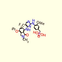 COc1cc(CP(=O)(O)O)ccc1Nc1ncc(C(F)(F)F)c(Nc2ccc(OC(C)C)c3c2C(=O)N(C)C3)n1